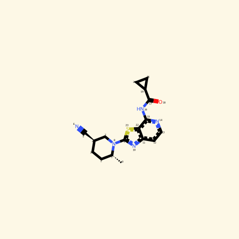 C[C@@H]1CC[C@@H](C#N)CN1c1nc2ccnc(NC(=O)C3CC3)c2s1